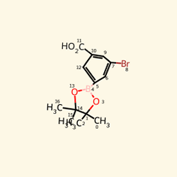 CC1(C)OB(c2cc(Br)cc(C(=O)O)c2)OC1(C)C